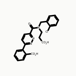 O=C(O)CCN(Cc1ccccc1Cl)C(=O)c1ccc(-c2ccccc2C(=O)O)nn1